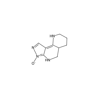 [O-][N+]1=C2NCC3CCCNC3=C2C=N1